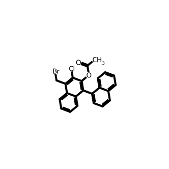 CC(=O)Oc1c(Cl)c(CBr)c2ccccc2c1-c1cccc2ccccc12